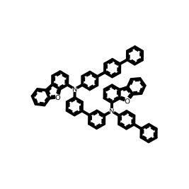 c1ccc(-c2ccc(-c3ccc(N(c4cccc(-c5cccc(N(c6ccc(-c7ccccc7)cc6)c6cccc7c6oc6ccccc67)c5)c4)c4cccc5c4oc4ccccc45)cc3)cc2)cc1